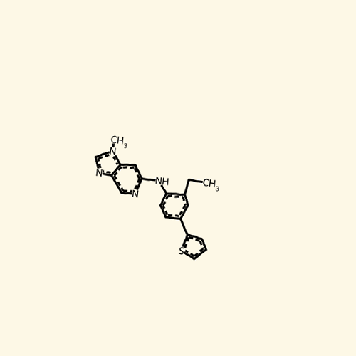 CCc1cc(-c2cccs2)ccc1Nc1cc2c(cn1)ncn2C